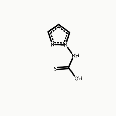 OC(=S)Nn1cccn1